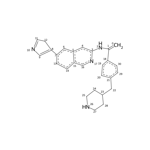 C=C(Nc1cc2cc(C3=CN=CC3)ccc2cn1)c1ccc(CC2CCNCC2)cc1